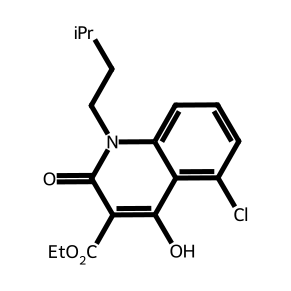 CCOC(=O)c1c(O)c2c(Cl)cccc2n(CCC(C)C)c1=O